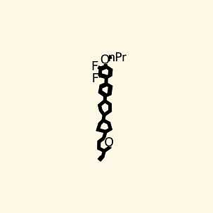 C=CC1CCC(C2CCC(C3CCC(c4ccc(-c5ccc(OCCC)c(F)c5F)cc4)CC3)CC2)OC1